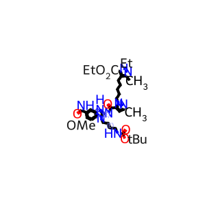 CCOC(=O)c1c(CCCCCn2nc(C)cc2C(=O)/N=c2\[nH]c3cc(C(N)=O)cc(OC)c3n2C/C=C/CNC(=O)OC(C)(C)C)c(C)nn1CC